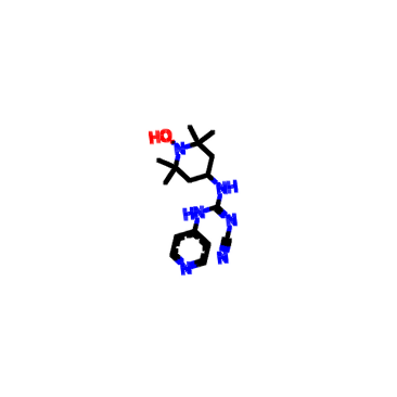 CC1(C)CC(N/C(=N/C#N)Nc2ccncc2)CC(C)(C)N1O